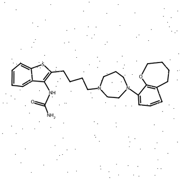 NC(=O)Nc1c(CCCCN2CCCN(c3cccc4c3OCCCC4)CC2)sc2ccccc12